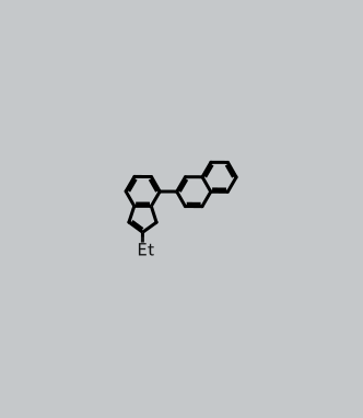 CCC1=Cc2cccc(-c3ccc4ccccc4c3)c2C1